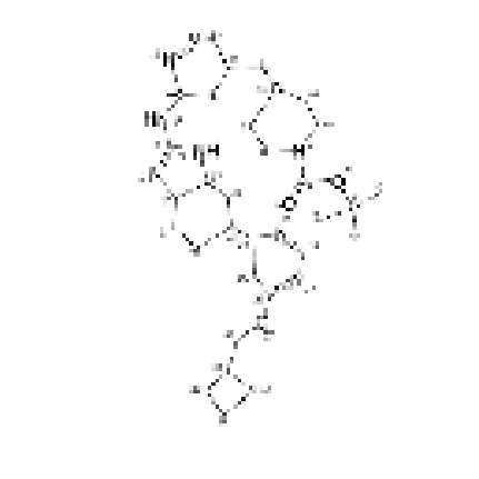 CC(C)(C)OC(=O)N1CCN(CC2CC=NC(NC3=NC4CCC(C5CC(OCC6CCC6)=NC=N5)CC4N3)C2)CC1